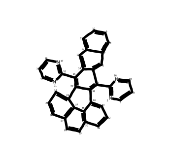 c1cnc(-c2c3cc4ccccc4cc3c(-c3ncccn3)c3c4cccc5ccc6cccc(c23)c6c54)nc1